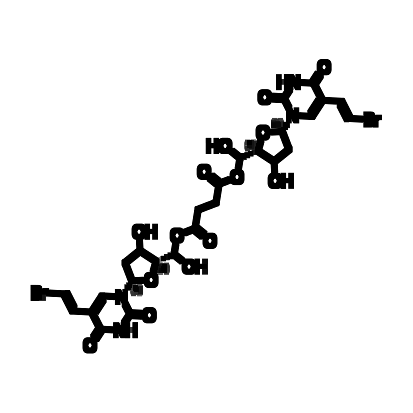 O=C(CCC(=O)OC(O)[C@@H]1O[C@H](n2cc(C=CBr)c(=O)[nH]c2=O)CC1O)OC(O)[C@@H]1O[C@H](n2cc(C=CBr)c(=O)[nH]c2=O)CC1O